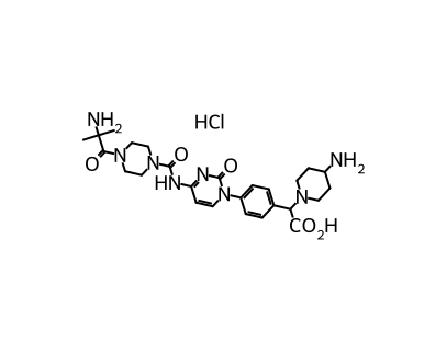 CC(C)(N)C(=O)N1CCN(C(=O)Nc2ccn(-c3ccc(C(C(=O)O)N4CCC(N)CC4)cc3)c(=O)n2)CC1.Cl